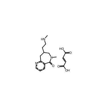 CNCCC1Cc2ncccc2C(=O)N(C)C1.O=C(O)C=CC(=O)O